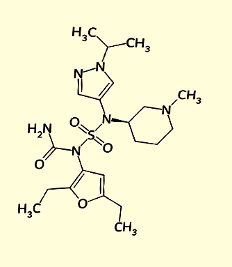 CCc1cc(N(C(N)=O)S(=O)(=O)N(c2cnn(C(C)C)c2)[C@@H]2CCCN(C)C2)c(CC)o1